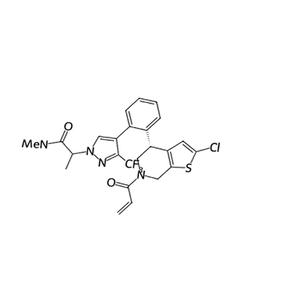 C=CC(=O)N1Cc2sc(Cl)cc2[C@@H](c2ccccc2-c2cn(C(C)C(=O)NC)nc2C(F)(F)F)C1